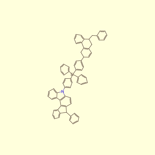 C1=CC(c2ccc([Si](c3ccccc3)(c3ccccc3)c3ccc(-n4c5ccccc5c5c6c(ccc54)C(c4ccccc4)c4ccccc4-6)cc3)cc2)CC2=C1CC(Cc1ccccc1)c1ccccc12